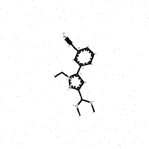 CCn1nc(C(OC)OC)cc1-c1cccc(C#N)c1